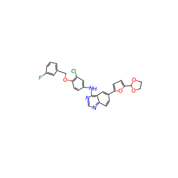 Fc1cccc(COc2ccc(Nc3ncnc4ccc(-c5ccc(C6OCCO6)o5)cc34)cc2Cl)c1